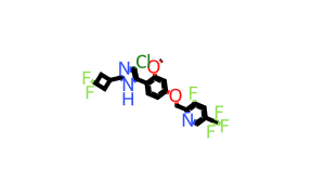 COc1cc(OCc2ncc(C(F)(F)F)cc2F)ccc1-c1[nH]c(C2CC(F)(F)C2)nc1Cl